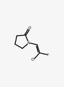 O=C1CCCN1C=C(F)Cl